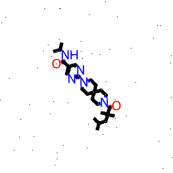 CC(C)CC(C)(C)C(=O)N1CCC2(CC1)CCN(c1ncc(C(=O)NC(C)C)cn1)CC2